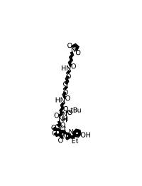 CCc1c2c(nc3ccc(O)cc13)-c1cc3c(c(=O)n1C2)COC(=O)[C@@]3(CC)OC(=O)CNC(=O)C(CCCCNC(=O)COCCOCCOCCNC(=O)CCCCCN1C(=O)C=CC1=O)NC(=O)OC(C)(C)C